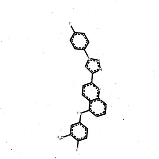 Cc1cc(Nc2cccc3nc(-c4cn(-c5ccc(F)cc5)nn4)ccc23)ccc1F